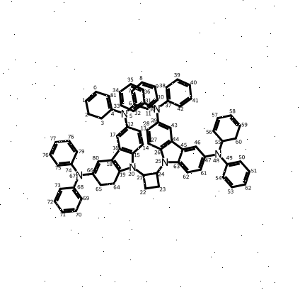 C1=CCCC(N(c2ccccc2)c2ccc3c(c2)c2c(n3C3CCC3n3c4ccc(N(c5ccccc5)c5ccccc5)cc4c4cc(N(c5ccccc5)C5C=CC=CC5)ccc43)CCC(N(c3ccccc3)c3ccccc3)=C2)=C1